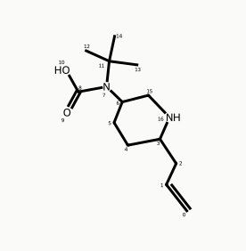 C=CCC1CCC(N(C(=O)O)C(C)(C)C)CN1